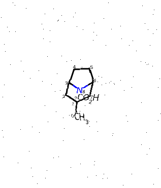 CC1CC2CCC(C1)N2C(=O)O